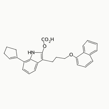 O=C(O)Oc1[nH]c2c(C3=CCCC3)cccc2c1CCCOc1cccc2ccccc12